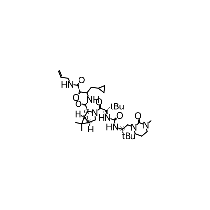 C=CCNC(=O)C(=O)C(CC1CC1)NC(=O)[C@@H]1[C@@H]2[C@H](CN1C(=O)[C@@H](NC(=O)N[C@H](CN1CCCN(C)C1=O)C(C)(C)C)C(C)(C)C)C2(C)C